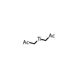 CC(=O)[CH2][Ti][CH2]C(C)=O